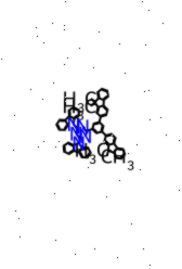 CC1(C)c2ccccc2-c2ccc(-c3cc(-c4ccc5c(c4)C(C)(C)c4ccccc4-5)cc(-c4nc(-n5c6ccccc6c6ccccc65)nc(-n5c6ccccc6c6ccccc65)n4)c3)cc21